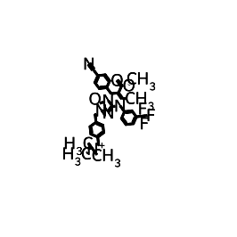 COC(=O)C1=C(C)N(c2cccc(C(F)(F)F)c2)c2nn(Cc3ccc(C[N+](C)(C)C)cc3)c(=O)n2C1c1ccc(C#N)cc1